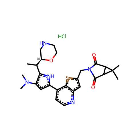 CC(c1[nH]c(-c2ccnc3cc(CN4C(=O)C5C(C4=O)C5(C)C)sc23)cc1N(C)C)[C@H]1CNCCO1.Cl